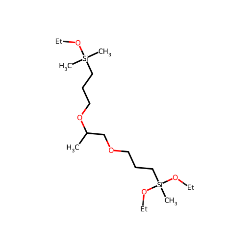 CCO[Si](C)(C)CCCOC(C)COCCC[Si](C)(OCC)OCC